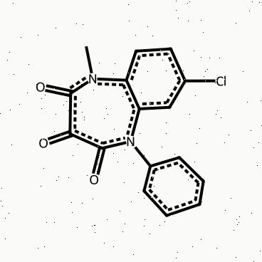 Cn1c(=O)c(=O)c(=O)n(-c2ccccc2)c2cc(Cl)ccc21